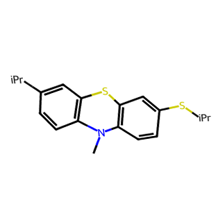 CC(C)Sc1ccc2c(c1)Sc1cc(C(C)C)ccc1N2C